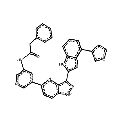 O=C(Cc1ccccc1)Nc1cncc(-c2ccc3[nH]nc(-c4cc5c(-c6ccoc6)cccc5[nH]4)c3n2)c1